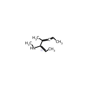 CC=C=C(C)/C(=C\C)NC